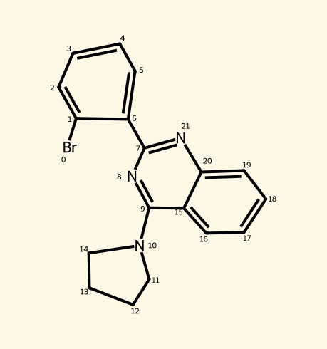 Brc1ccccc1-c1nc(N2CCCC2)c2ccccc2n1